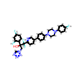 OC(Cn1cnnn1)(c1ccc(F)cc1F)C(F)(F)c1ccc(-c2ccc(N3CCN(c4ccc(F)cc4)CC3)cc2)cn1